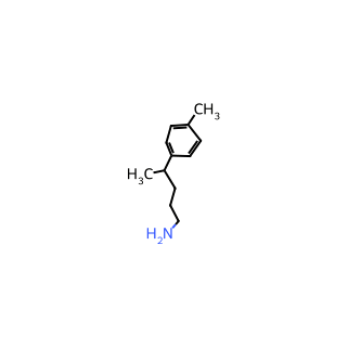 Cc1ccc(C(C)CCCN)cc1